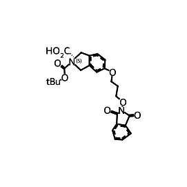 CC(C)(C)OC(=O)N1Cc2cc(OCCCON3C(=O)c4ccccc4C3=O)ccc2C[C@H]1C(=O)O